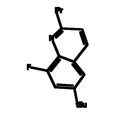 CC(C)c1ccc2cc(C(C)(C)C)cc(F)c2n1